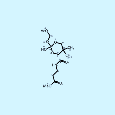 COC(=O)CCNC(=O)[C@@H]1O[P](O)(OCOC(C)=O)OCC1(C)C